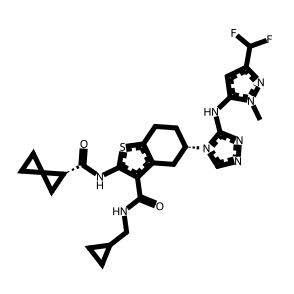 Cn1nc(C(F)F)cc1Nc1nncn1[C@H]1CCc2sc(NC(=O)[C@@H]3CC34CC4)c(C(=O)NCC3CC3)c2C1